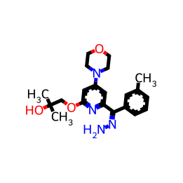 Cc1cccc(C(=NN)c2cc(N3CCOCC3)cc(OCC(C)(C)O)n2)c1